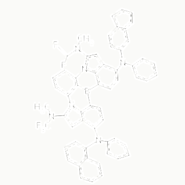 CN(c1cc2c(N(c3ccccc3)c3ccc4ccccc4c3)ccc3c2n1-c1cccc2c1B3c1ccc(N(c3ccccc3)c3cccc4ccccc34)c3cc(N(C)C(F)(F)F)n-2c13)C(F)F